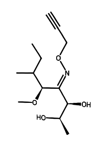 C#CCO/N=C(\[C@@H](OC)C(C)CC)[C@@H](O)[C@@H](C)O